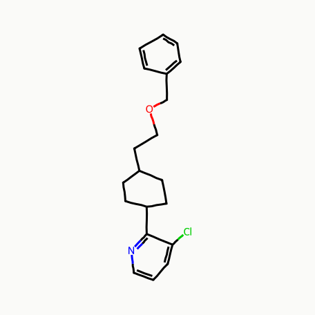 Clc1cccnc1C1CCC(CCOCc2ccccc2)CC1